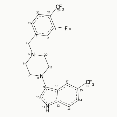 Fc1cc(CN2CCN(c3[c][nH]c4ccc(C(F)(F)F)cc34)CC2)ccc1C(F)(F)F